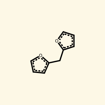 c1coc(Cc2ccco2)c1